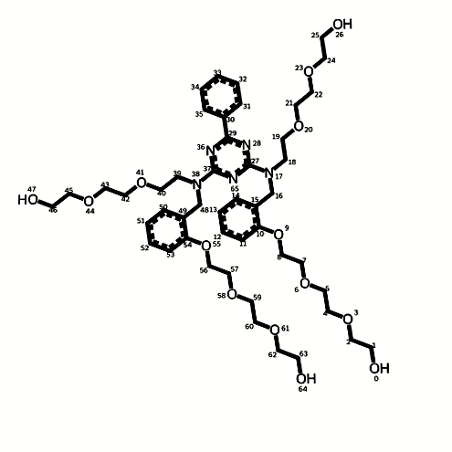 OCCOCCOCCOc1ccccc1CN(CCOCCOCCO)c1nc(-c2ccccc2)nc(N(CCOCCOCCO)Cc2ccccc2OCCOCCOCCO)n1